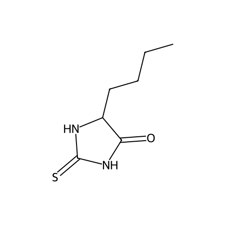 CCCCC1NC(=S)NC1=O